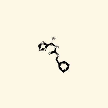 CC(C)[C@H](NC(=O)OCc1ccccc1)c1nnco1